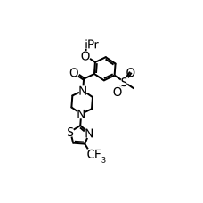 CC(C)Oc1ccc(S(C)(=O)=O)cc1C(=O)N1CCN(c2nc(C(F)(F)F)cs2)CC1